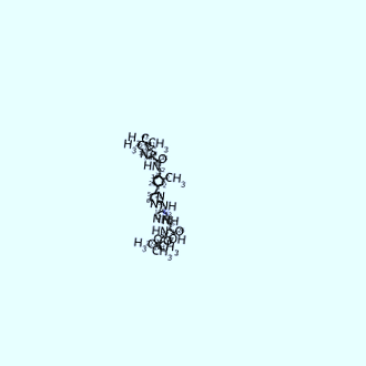 Cc1cc(-c2ccnc(N/C(C=N)=C/NCC(NC(=O)OC(C)(C)C)C(=O)O)n2)ccc1CNC(=O)c1cnc(C(C)(C)C)s1